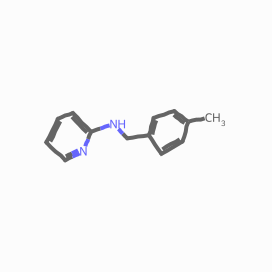 Cc1ccc(CNc2ccccn2)cc1